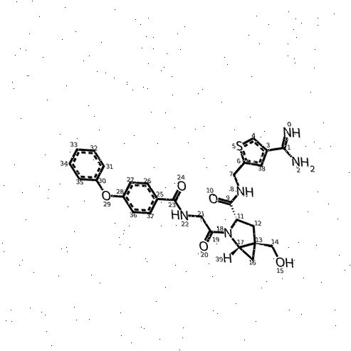 N=C(N)c1csc(CNC(=O)[C@@H]2C[C@]3(CO)C[C@@H]3N2C(=O)CNC(=O)c2ccc(Oc3ccccc3)cc2)c1